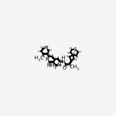 CC(C(=O)Nc1cc2cc(-c3cnccc3C)nc(N)c2cn1)=C1CC2(CCSCC2)C1